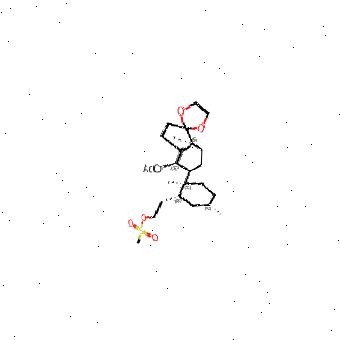 CC(=O)O[C@H]1C2CCC3(OCCO3)[C@@]2(C)CCC1[C@@]1(C)CC[C@H](C)C[C@@H]1CCOS(C)(=O)=O